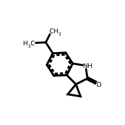 CC(C)c1ccc2c(c1)NC(=O)C21CC1